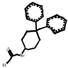 CCC(=O)NC1CCC(c2ccccc2)(c2ccccc2)CC1